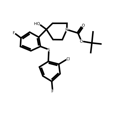 CC(C)(C)OC(=O)N1CCC(O)(c2cc(F)ccc2Sc2ccc(F)cc2Cl)CC1